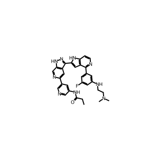 CCC(=O)Nc1cncc(-c2cc3c(-c4cc5c(-c6cc(F)cc(NCCN(C)C)c6)nccc5[nH]4)n[nH]c3cn2)c1